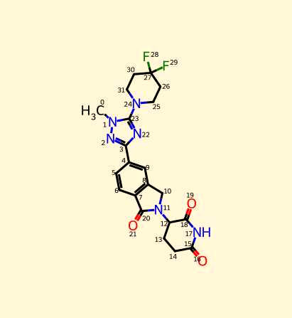 Cn1nc(-c2ccc3c(c2)CN(C2CCC(=O)NC2=O)C3=O)nc1N1CCC(F)(F)CC1